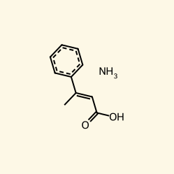 CC(=CC(=O)O)c1ccccc1.N